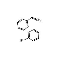 C=Cc1ccccc1.[CH2]C(C)c1ccccc1